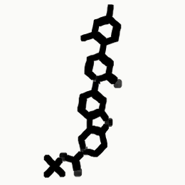 Cc1ccc(-c2ccn(-c3ccc4c5c(oc4c3)CCN(C(=O)OC(C)(C)C)C5)c(=O)c2)c(C)c1